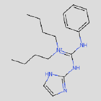 CCCC[N+](CCCC)=C(Nc1ccccc1)Nc1ncc[nH]1